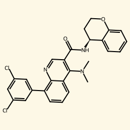 CN(C)c1c(C(=O)N[C@H]2CCOc3ccccc32)cnc2c(-c3cc(Cl)cc(Cl)c3)cccc12